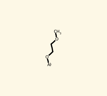 COCC[O][Al]